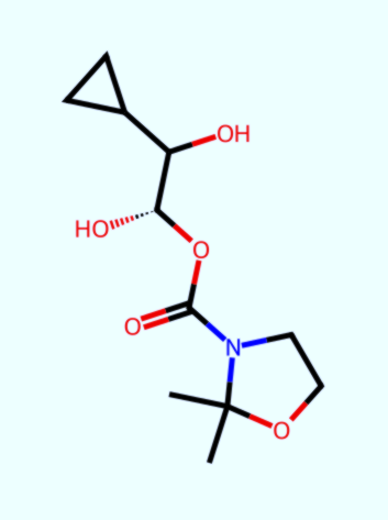 CC1(C)OCCN1C(=O)O[C@H](O)C(O)C1CC1